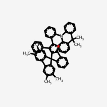 Cc1cc2c(cc1C)C1(c3cc(C)c(C)cc3-2)c2ccccc2-c2sc(-c3ccccc3N3c4ccccc4C(C)(C)c4ccccc43)c(-c3ccccc3)c21